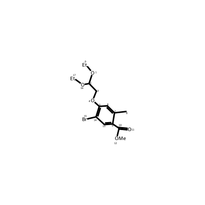 CCOC(COc1cc(C)c(C(=O)OC)cc1Br)OCC